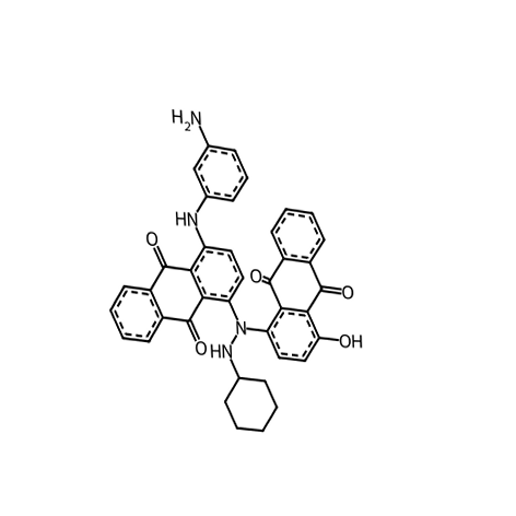 Nc1cccc(Nc2ccc(N(NC3CCCCC3)c3ccc(O)c4c3C(=O)c3ccccc3C4=O)c3c2C(=O)c2ccccc2C3=O)c1